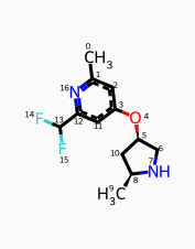 Cc1cc(O[C@H]2CN[C@@H](C)C2)cc(C(F)F)n1